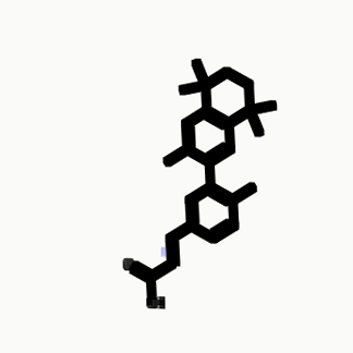 Cc1ccc(/C=C/C(=O)O)cc1-c1cc2c(cc1C)C(C)(C)CCC2(C)C